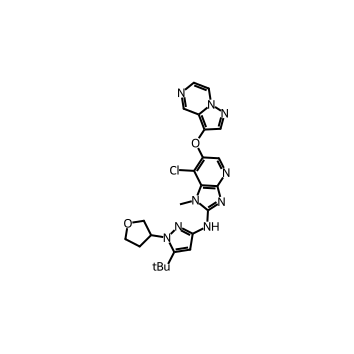 Cn1c(Nc2cc(C(C)(C)C)n(C3CCOC3)n2)nc2ncc(Oc3cnn4ccncc34)c(Cl)c21